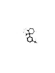 CNC(=S)C1(c2cccc(C(F)(F)F)c2)CCCCC1=O